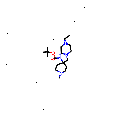 CCN1CCN(CC2(NC(=O)OC(C)(C)C)CCN(C)CC2)CC1